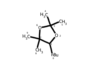 CCCCC1OC(C)(C)OC1(C)C